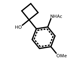 COc1ccc(C2(O)CCC2)c(NC(C)=O)c1